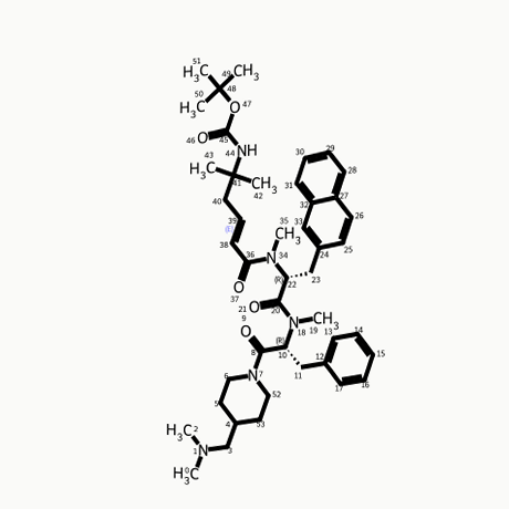 CN(C)CC1CCN(C(=O)[C@@H](Cc2ccccc2)N(C)C(=O)[C@@H](Cc2ccc3ccccc3c2)N(C)C(=O)/C=C/CC(C)(C)NC(=O)OC(C)(C)C)CC1